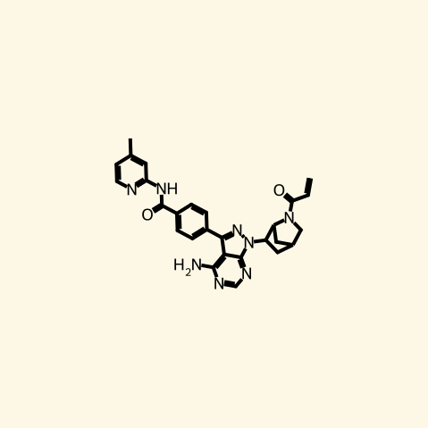 C=CC(=O)N1CC2CC1C(n1nc(-c3ccc(C(=O)Nc4cc(C)ccn4)cc3)c3c(N)ncnc31)C2